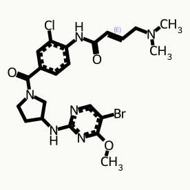 COc1nc(NC2CCN(C(=O)c3ccc(NC(=O)/C=C/CN(C)C)c(Cl)c3)C2)ncc1Br